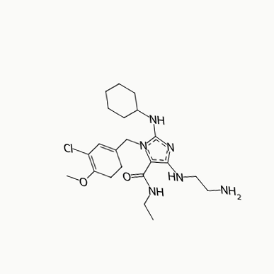 CCNC(=O)c1c(NCCN)nc(NC2CCCCC2)n1CC1=CC(Cl)=C(OC)CC1